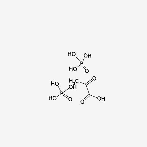 CC(=O)C(=O)O.O=P(O)(O)O.O=P(O)(O)O